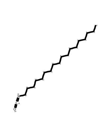 CCCCCCCCCCCCCCCCC[CH]N=C=O